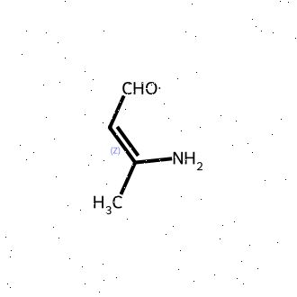 C/C(N)=C/[C]=O